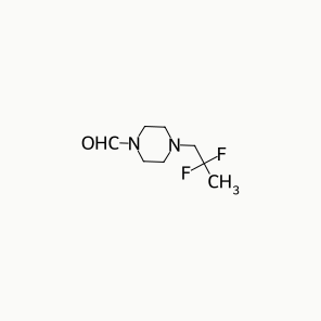 CC(F)(F)CN1CCN(C=O)CC1